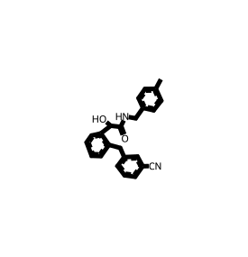 Cc1ccc(CNC(=O)C(O)c2ccccc2Cc2cccc(C#N)c2)cc1